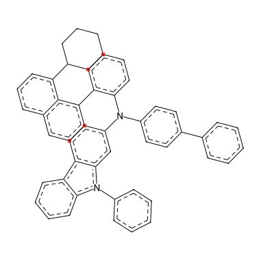 c1ccc(-c2ccc(N(c3ccc4c5ccccc5n(-c5ccccc5)c4c3)c3ccccc3-c3cccc4cccc(C5CCCCC5)c34)cc2)cc1